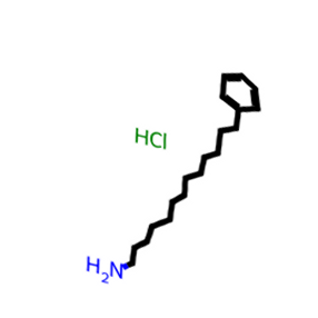 Cl.NCCCCCCCCCCCCCc1ccccc1